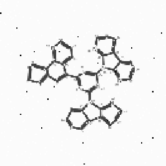 c1ccc2c(c1)cc(-c1nc(-n3c4ccccc4c4cccnc43)nc(-n3c4ncccc4c4cccnc43)n1)c1cccnc12